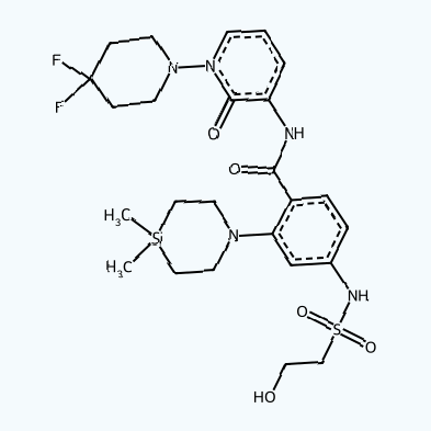 C[Si]1(C)CCN(c2cc(NS(=O)(=O)CCO)ccc2C(=O)Nc2cccn(N3CCC(F)(F)CC3)c2=O)CC1